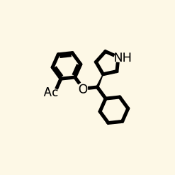 CC(=O)c1ccccc1OC(C1CCCCC1)[C@H]1CCNC1